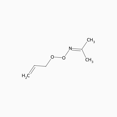 C=CCOON=C(C)C